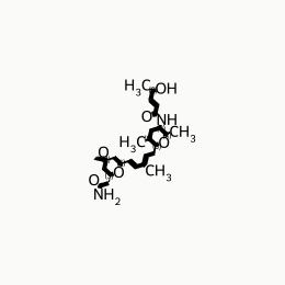 CC(C=C[C@@H]1C[C@]2(CO2)C[C@@H](CC(N)=O)O1)=CC[C@@H]1O[C@H](C)[C@H](NC(=O)C=C[C@H](C)O)C[C@@H]1C